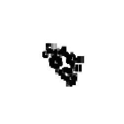 CC(=O)Nc1ccc(SN2C=C(Nc3cc(C4CC4)n[nH]3)[N+]3C=CN=C3C2)cc1